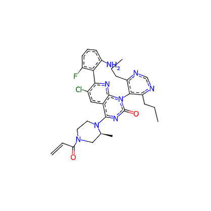 C=CC(=O)N1CCN(c2nc(=O)n(-c3c(CCC)ncnc3CCC)c3nc(-c4c(N)cccc4F)c(Cl)cc23)[C@@H](C)C1